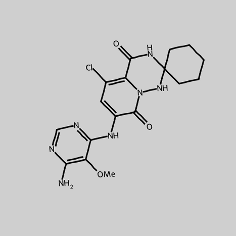 COc1c(N)ncnc1Nc1cc(Cl)c2n(c1=O)NC1(CCCCC1)NC2=O